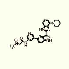 CN(C)CC(=O)Nc1cncc(-c2ccc3[nH]nc(-c4nc5c(N6CCCCC6)cccc5[nH]4)c3n2)c1